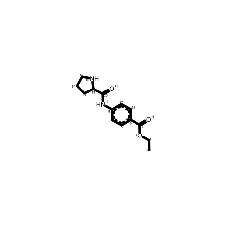 CCOC(=O)c1ccc(NC(=O)C2CCCN2)cc1